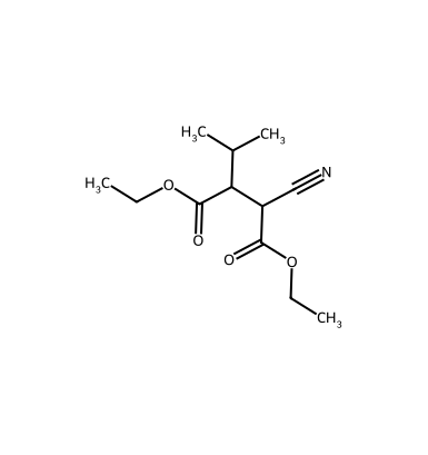 CCOC(=O)C(C#N)C(C(=O)OCC)C(C)C